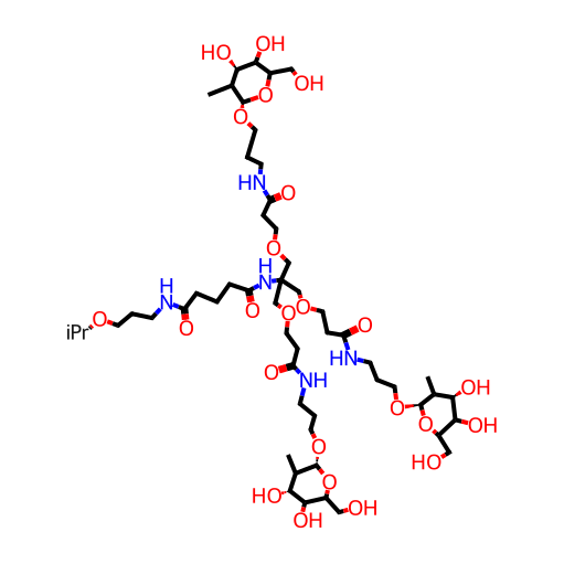 CC(C)OCCCNC(=O)CCCC(=O)NC(COCCC(=O)NCCCO[C@@H]1OC(CO)C(O)[C@H](O)C1C)(COCCC(=O)NCCCO[C@@H]1OC(CO)C(O)[C@H](O)C1C)COCCC(=O)NCCCO[C@@H]1OC(CO)C(O)[C@H](O)C1C